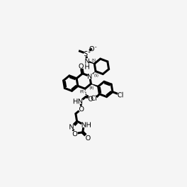 C[S+]([O-])N[C@H]1CCCC[C@@H]1N1C(=O)c2ccccc2[C@@H](C(=O)NOCc2noc(=O)[nH]2)[C@@H]1c1ccc(Cl)cc1Cl